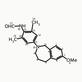 COc1ccc2c(c1)CCCN(c1cc(C)c(NC=O)c(C)c1)C2